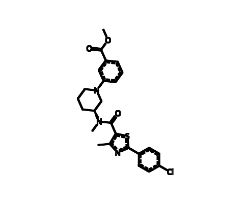 COC(=O)c1cccc(N2CCC[C@H](N(C)C(=O)c3sc(-c4ccc(Cl)cc4)nc3C)C2)c1